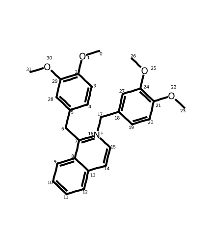 COc1ccc(Cc2c3ccccc3cc[n+]2Cc2ccc(OC)c(OC)c2)cc1OC